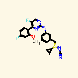 COc1cc(F)ccc1-c1nc(Nc2cccc(C/S(=N/C#N)C3CC3)c2)ncc1F